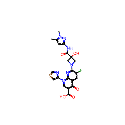 Cc1cc(NC(=O)C2(O)CN(c3nc4c(cc3F)c(=O)c(C(=O)O)cn4-c3cscn3)C2)nn1C